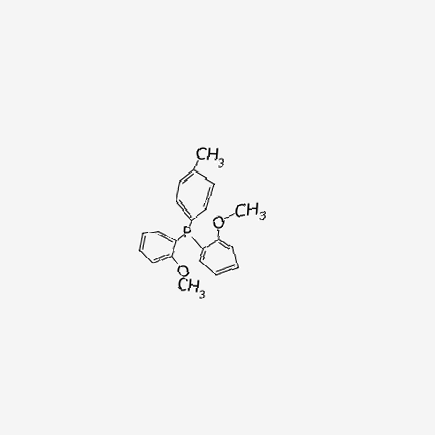 COc1ccccc1P(c1ccc(C)cc1)c1ccccc1OC